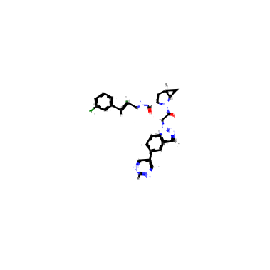 CC(=O)c1nn(CC(=O)N2C3C[C@@H]3C[C@H]2C(=O)NC/C(F)=C(\C)c2cccc(Cl)c2)c2ccc(-c3cnc(C)nc3)cc12